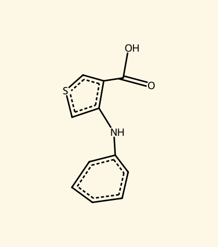 O=C(O)c1cscc1Nc1ccccc1